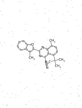 Cc1c(-c2nc(C#N)c3c(C(C)(C)C)ccc(C)c3n2)oc2ccccc12